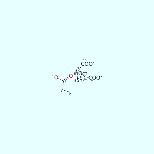 CCC(=O)[O-].CCCCCCC[CH2][Sn+3].O=C([O-])/C=C\C(=O)[O-]